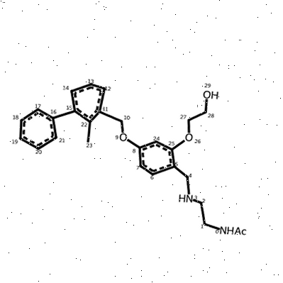 CC(=O)NCCNCc1ccc(OCc2cccc(-c3ccccc3)c2C)cc1OCCO